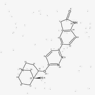 O=C1Cc2cc(-c3ccc(OC4CCN5CCC[C@@H]4C5)nn3)ccc2N1